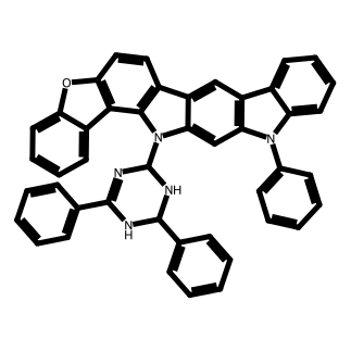 c1ccc(C2=NC(n3c4cc5c(cc4c4ccc6oc7ccccc7c6c43)c3ccccc3n5-c3ccccc3)NC(c3ccccc3)N2)cc1